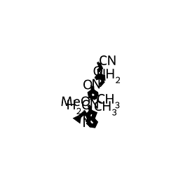 C=C(c1cc2cccnc2n1CC1CC1)N(C)c1c(C)cc(C(=O)N2CC3C[C@H](OCCC#N)C2C3N)cc1OC